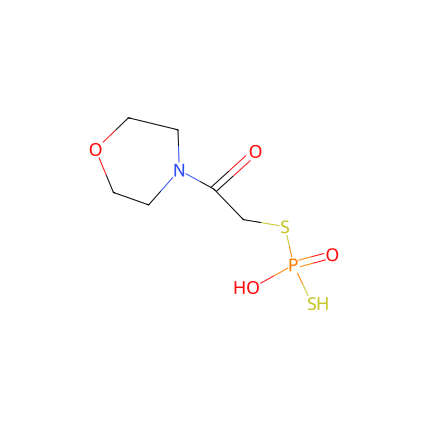 O=C(CSP(=O)(O)S)N1CCOCC1